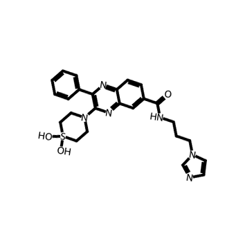 O=C(NCCCn1ccnc1)c1ccc2nc(-c3ccccc3)c(N3CCS(O)(O)CC3)nc2c1